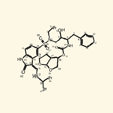 CC(C)CN(CC(O)C(Cc1ccccc1)NC(=O)OC1COC2OCCC12)S(=O)(=O)c1ccc2c(c1)C(=CNC(C(C)C)C(C)C)C(=O)N2